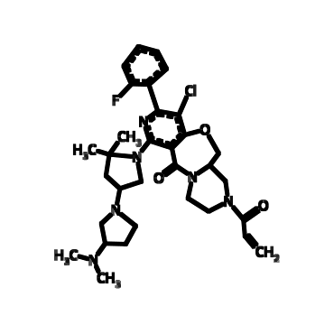 C=CC(=O)N1CCN2C(=O)c3c(N4CC(N5CCC(N(C)C)C5)CC4(C)C)nc(-c4ccccc4F)c(Cl)c3OCC2C1